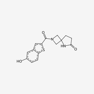 O=C1CCC2(CN(C(=O)c3cc4cc(O)ccc4s3)C2)N1